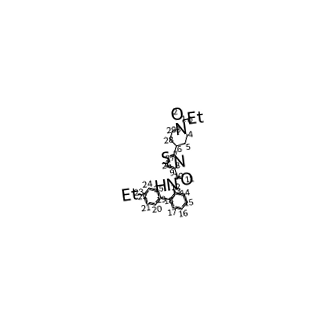 CCC(=O)N1CCC(c2nc(C(=O)Nc3ccccc3-c3ccc(CC)cc3)cs2)CC1